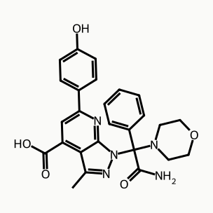 Cc1nn(C(C(N)=O)(c2ccccc2)N2CCOCC2)c2nc(-c3ccc(O)cc3)cc(C(=O)O)c12